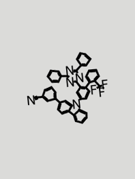 N#Cc1cccc(-c2ccc3c4ccccc4n(-c4ccc(-c5ccccc5C(F)(F)F)c(-c5nc(-c6ccccc6)nc(-c6ccccc6)n5)c4)c3c2)c1